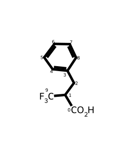 O=C(O)C(Cc1ccccc1)C(F)(F)F